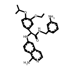 CCOc1cc(C(Nc2ccc3c(N)nccc3c2)C(=O)NCc2cccc(N)c2)ccc1OC(C)C